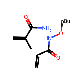 C=C(C)C(N)=O.C=CC(=O)NOCCCC